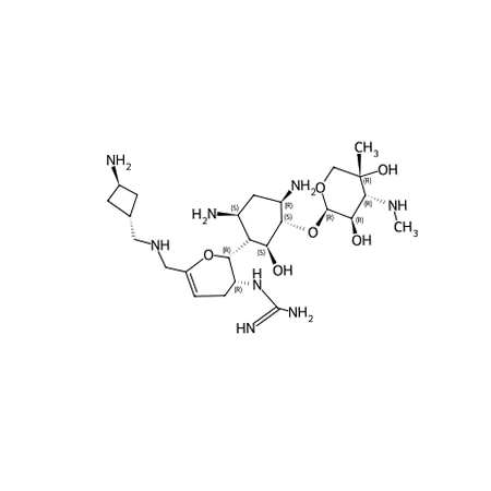 CN[C@@H]1[C@@H](O)[C@@H](O[C@H]2[C@H](N)C[C@H](N)C([C@H]3OC(CNC[C@H]4C[C@H](N)C4)=CC[C@H]3NC(=N)N)[C@@H]2O)OC[C@]1(C)O